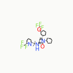 CC(C)(N[C@@H]1C[C@H](c2cccc(OC(F)(F)F)c2)N(c2ccccc2)C1=O)c1cccc(C(F)(F)F)n1